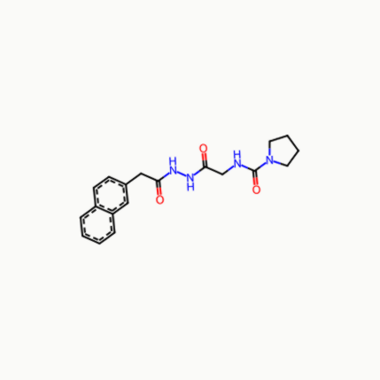 O=C(CNC(=O)N1CCCC1)NNC(=O)Cc1ccc2ccccc2c1